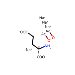 CC(=O)[O-].CC(=O)[O-].N[C@@H](CCC(=O)[O-])C(=O)[O-].[Na+].[Na+].[Na+].[Na+]